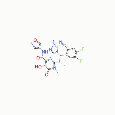 C[C@H](c1nc(C(=O)Nc2cnoc2)c(O)c(=O)n1C)[C@H](c1cnn(C)c1)c1cc(F)c(F)cc1C#N